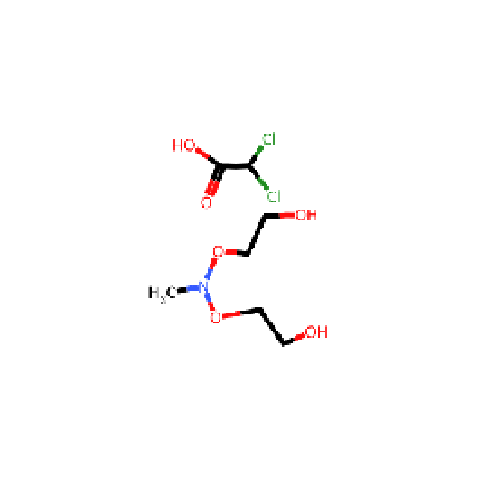 CN(OCCO)OCCO.O=C(O)C(Cl)Cl